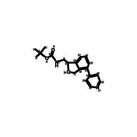 CC(C)(C)OC(=O)NCC1OCc2c(-c3ccncc3)cccc21